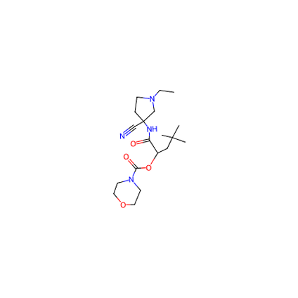 CCN1CCC(C#N)(NC(=O)C(CC(C)(C)C)OC(=O)N2CCOCC2)C1